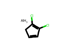 ClC1=C(Cl)CC=C1.[AlH3]